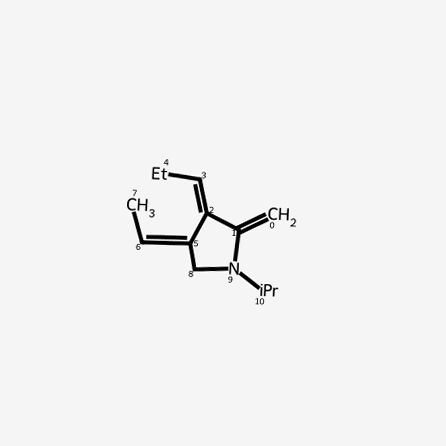 C=C1C(=C/CC)/C(=C\C)CN1C(C)C